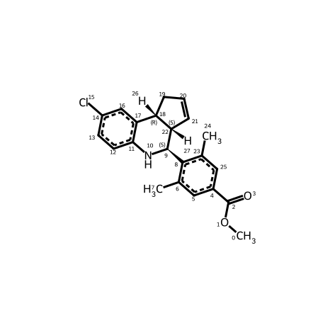 COC(=O)c1cc(C)c([C@H]2Nc3ccc(Cl)cc3[C@@H]3CC=C[C@H]23)c(C)c1